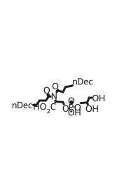 CCCCCCCCCCCCCC(=O)N(C(=O)CCCCCCCCCCCCC)C(COP(=O)(O)OCC(O)CO)C(=O)O